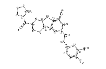 O=C([C@H]1CCCN1)N1CCN2c3cc(OCc4ccc(F)c(F)c4)nc(=O)n3CC2C1